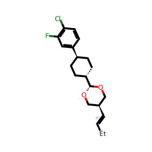 CC/C=C/[C@H]1CO[C@H]([C@H]2CC[C@H](c3ccc(Cl)c(F)c3)CC2)OC1